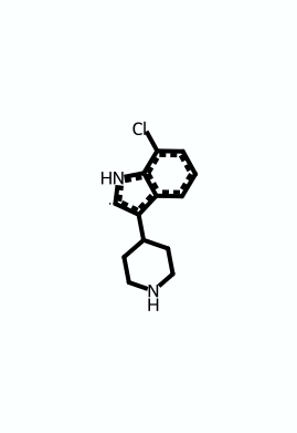 Clc1cccc2c(C3CCNCC3)[c][nH]c12